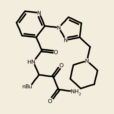 CCCCC(NC(=O)c1cccnc1-n1ccc(CN2CCCCC2)n1)C(=O)C(N)=O